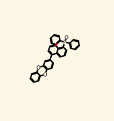 O=P(c1ccccc1)(c1ccccc1)c1cccc2c(-c3ccc4c(c3)Oc3ccccc3O4)cccc12